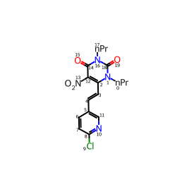 CCCn1c(C=Cc2ccc(Cl)nc2)c([N+](=O)[O-])c(=O)n(CCC)c1=O